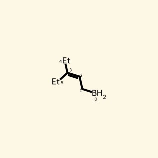 BCC=C(CC)CC